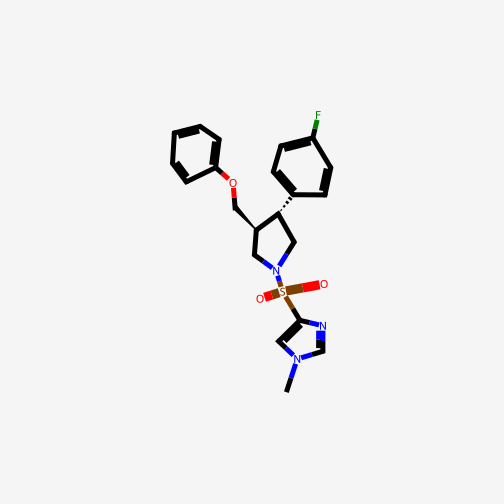 Cn1cnc(S(=O)(=O)N2C[C@@H](COc3ccccc3)[C@H](c3ccc(F)cc3)C2)c1